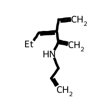 C=CCNC(=C)C(C=C)=CCC